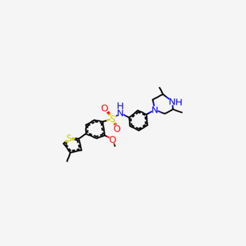 COc1cc(-c2cc(C)cs2)ccc1S(=O)(=O)Nc1cccc(N2CC(C)NC(C)C2)c1